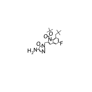 CC(C)(C)Cc1cc(F)cc2cc(Cn3cncc(N)c3=O)n(C(=O)OC(C)(C)C)c12